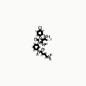 C/N=C1\C(=C(/C)N)N(c2ccc(Cl)cc2)C(=O)N1c1cccc(N(C)C(=O)/C=C/CN(C)C)c1